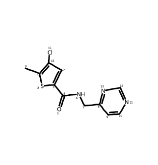 Cc1sc(C(=O)NCc2ccncn2)cc1Cl